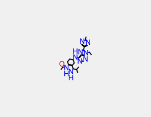 CCn1c(-c2cnc(C)nc2)nc2c(NC3CCC(NC(C)=O)=C(C(=N)C(C)C)C3)ncnc21